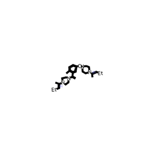 C=C(c1cc(CN2CCN(/C(C)=C/CC)CC2)ccc1C)N1CCN(/C(C)=C/CC)CC1